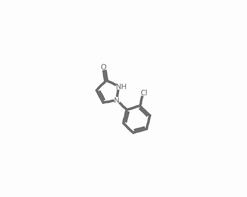 O=c1ccn(-c2ccccc2Cl)[nH]1